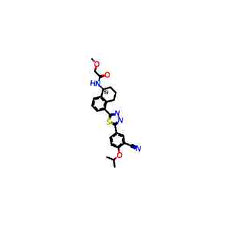 COCC(=O)N[C@H]1CCCc2c(-c3nnc(-c4ccc(OC(C)C)c(C#N)c4)s3)cccc21